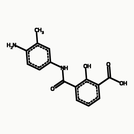 Cc1cc(NC(=O)c2cccc(C(=O)O)c2O)ccc1N